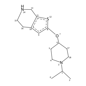 CC(C)N1CCC(Oc2cc3c(s2)CNCC3)CC1